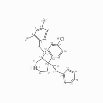 Fc1cc(Br)ccc1COC1CNCCC1(OCc1ccccc1)c1ccc(Cl)cc1